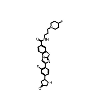 O=C1CNC(c2ccc(-c3cn4c(n3)sc3cc(C(=O)NCCCN5CCC(F)CC5)ccc34)c(F)c2)C1